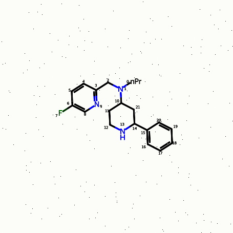 CCCN(Cc1ccc(F)cn1)C1CCNC(c2ccccc2)C1